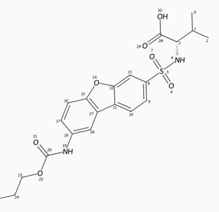 CC(C)[C@H](NS(=O)(=O)c1ccc2c(c1)oc1ccc(NC(=O)OCCF)cc12)C(=O)O